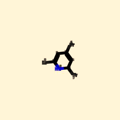 CCC1=CC(C(C)C)=CC(C(C)C)N1